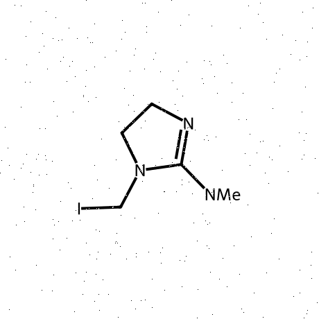 CNC1=NCCN1CI